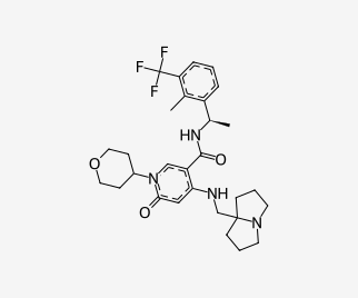 Cc1c([C@@H](C)NC(=O)c2cn(C3CCOCC3)c(=O)cc2NCC23CCCN2CCC3)cccc1C(F)(F)F